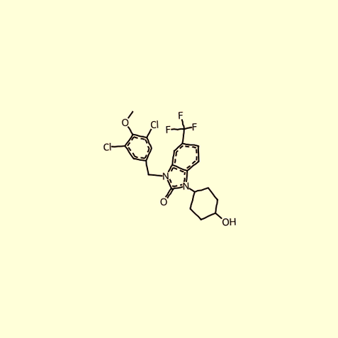 COc1c(Cl)cc(Cn2c(=O)n(C3CCC(O)CC3)c3ccc(C(F)(F)F)cc32)cc1Cl